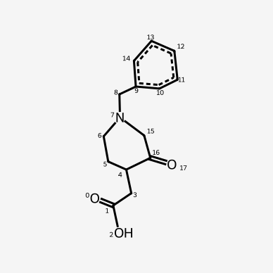 O=C(O)CC1CCN(Cc2ccccc2)CC1=O